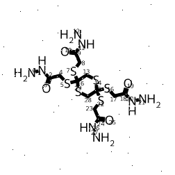 NNC(=O)CSC1(SCC(=O)NN)CSC(SCC(=O)NN)(SCC(=O)NN)CS1